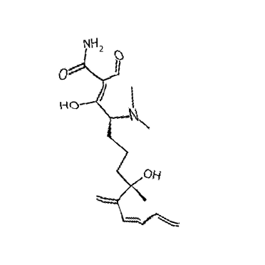 C=C/C=C\C(=C)[C@@](C)(O)CCC[C@@H](/C(O)=C(\C=O)C(N)=O)N(C)C